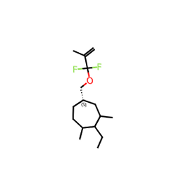 C=C(C)C(F)(F)OC[C@H]1CCC(C)C(CC)C(C)C1